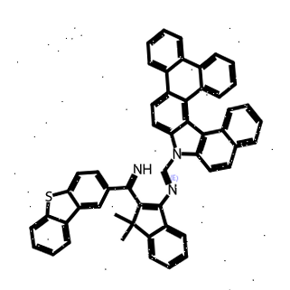 CC1(C)C(C(=N)c2ccc3sc4ccccc4c3c2)=C(/N=C/n2c3ccc4ccccc4c3c3c4c5ccccc5c5ccccc5c4ccc32)c2ccccc21